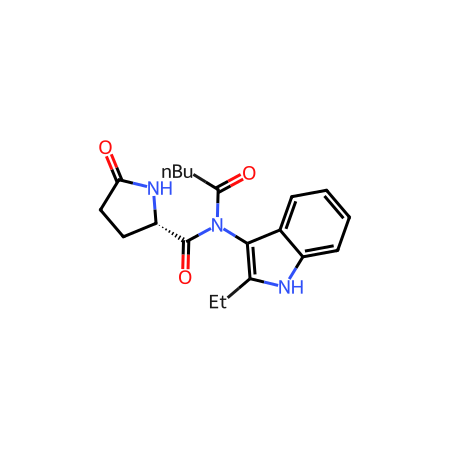 CCCCC(=O)N(C(=O)[C@@H]1CCC(=O)N1)c1c(CC)[nH]c2ccccc12